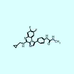 CNC(=O)Nc1ccc(-c2cnc3c(NCC4CC4)nc4cc(F)c(F)cc4n23)cc1